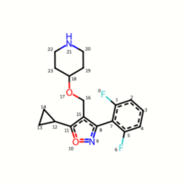 Fc1cccc(F)c1-c1noc(C2CC2)c1COC1CCNCC1